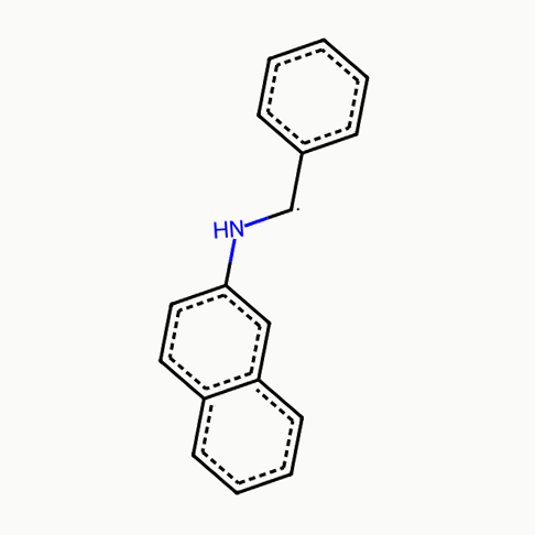 [CH](Nc1ccc2ccccc2c1)c1ccccc1